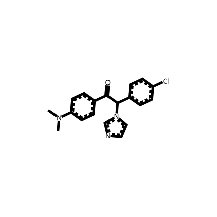 CN(C)c1ccc(C(=O)C(c2ccc(Cl)cc2)n2ccnc2)cc1